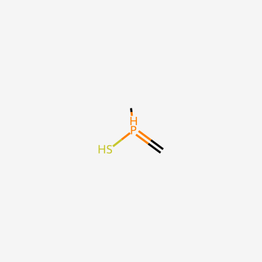 C=[PH](C)S